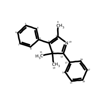 CC1=C(c2ccccc2)C(C)(C)C(c2ccccc2)=N1